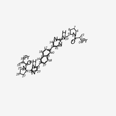 CC(C)[C@H](C)C(=O)N1CCC[C@@H]1CNc1ncc(-c2ccc3cc(-c4cnc([C@@H]5CCCN5C(=O)[C@@H](C)C(C)C)[nH]4)ccc3c2)cn1